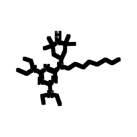 CCCCCCCCN(c1nc(N(CC)CC)nc(N(CC)CC)n1)C1CC(C)(C)NC(C)(C)C1